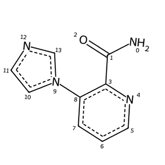 NC(=O)c1ncccc1-n1ccnc1